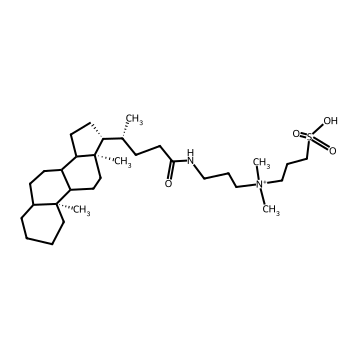 C[C@H](CCC(=O)NCCC[N+](C)(C)CCCS(=O)(=O)O)[C@H]1CCC2C3CCC4CCCC[C@]4(C)C3CC[C@@]21C